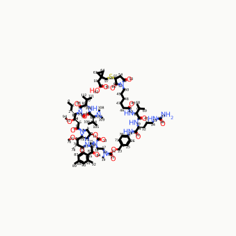 CCC[C@@H]([C@@H](CC(=O)N1C[C@@H](OC(=O)N(C)CCN(C)C(=O)OCc2ccc(NC(=O)[C@H](CCCNC(N)=O)NC(=O)[C@@H](NC(=O)CCCCCN3C(=O)CC(SCC4(CC(=O)O)CC4)C3=O)C(C)C)cc2)C[C@H]1[C@H](OC)[C@@H](C)C(=O)NCC(=O)c1ccc(C)cc1C)OC)N(C)C(=O)[C@@H](NC(=O)[C@H](C(C)C)N(C)C)C(C)C